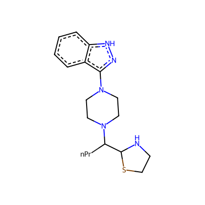 CCCC(C1NCCS1)N1CCN(c2n[nH]c3ccccc23)CC1